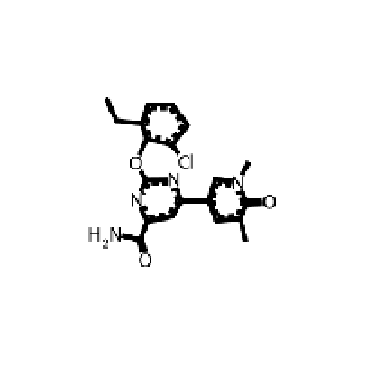 CCc1cccc(Cl)c1Oc1nc(C(N)=O)cc(-c2cc(C)c(=O)n(C)c2)n1